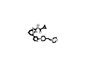 O=C(Nc1nc2cccc(-c3ccnc(N4CCC(CCN5CCOCC5)CC4)c3)n2n1)C1CC1